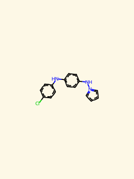 Clc1ccc(Nc2ccc(Nn3cccc3)cc2)cc1